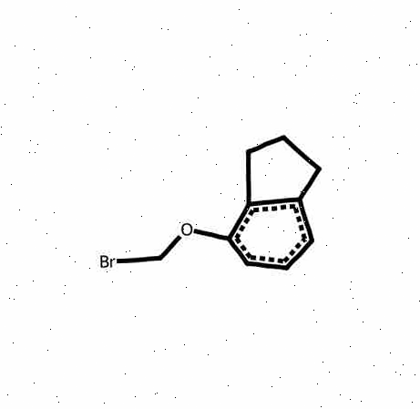 BrCOc1cccc2c1CCC2